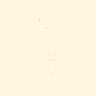 Cc1cc(C)nc(Oc2ccc(N3CCN(CCCc4c[nH]c5ccc(F)cc45)CC3)cc2)n1